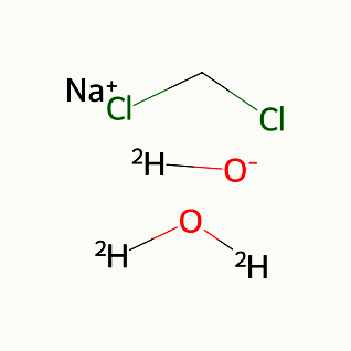 ClCCl.[2H]O[2H].[2H][O-].[Na+]